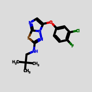 CC(C)(C)CNc1nn2c(Oc3ccc(F)c(Cl)c3)cnc2s1